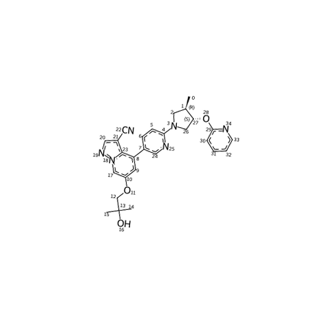 C[C@@H]1CN(c2ccc(-c3cc(OCC(C)(C)O)cn4ncc(C#N)c34)cn2)C[C@H]1Oc1ccccn1